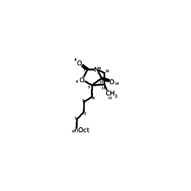 CCCCCCCCCCCCC12OC(=O)N(CC1C)C2=O